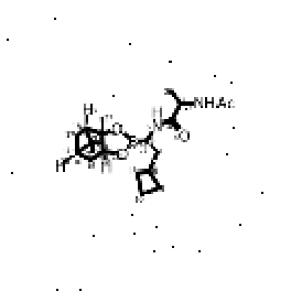 CC(=O)NC(C)C(=O)N[C@@H](CC1CCC1)B1O[C@@H]2C[C@@H]3C[C@@H](C3(C)C)[C@]2(C)O1